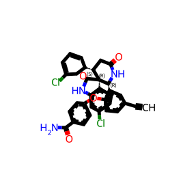 C#Cc1ccc(Oc2ccc(C(N)=O)cc2)c([C@H]2NC(=O)C[C@@H](C3C=CC=C(Cl)C3)[C@]23C(=O)Nc2cc(Cl)ccc23)c1